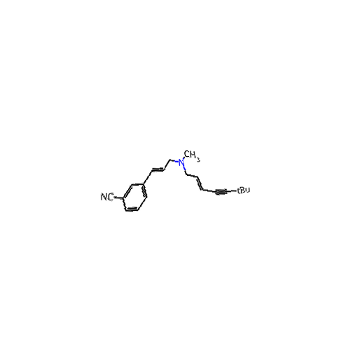 CN(CC=CC#CC(C)(C)C)CC=Cc1cccc(C#N)c1